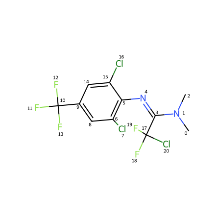 CN(C)/C(=N/c1c(Cl)cc(C(F)(F)F)cc1Cl)C(F)(F)Cl